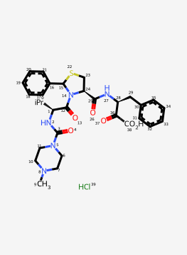 CC(C)[C@H](NC(=O)N1CCN(C)CC1)C(=O)N1C(c2ccccc2)SC[C@H]1C(=O)N[C@@H](Cc1ccccc1)C(=O)C(=O)O.Cl